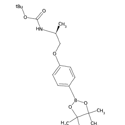 C[C@@H](COc1ccc(B2OC(C)(C)C(C)(C)O2)cc1)NC(=O)OC(C)(C)C